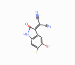 N#CC(C#N)=C1C(=O)Nc2cc(F)c(Br)cc21